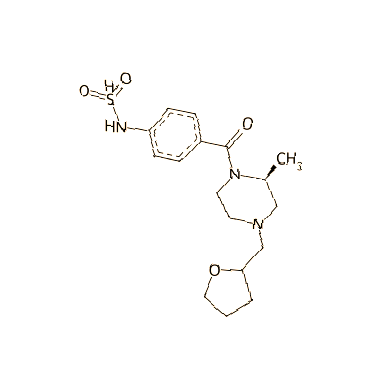 C[C@H]1CN(CC2CCCO2)CCN1C(=O)c1ccc(N[SH](=O)=O)cc1